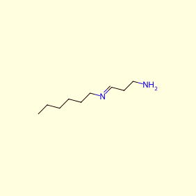 CCCCCCN=CCCN